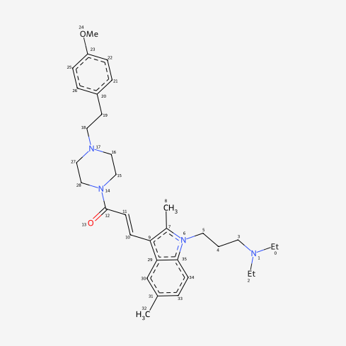 CCN(CC)CCCn1c(C)c(/C=C/C(=O)N2CCN(CCc3ccc(OC)cc3)CC2)c2cc(C)ccc21